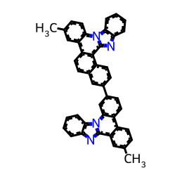 Cc1ccc2c(c1)c1ccc3cc(-c4ccc5c6ccc(C)cc6c6nc7ccccc7n6c5c4)ccc3c1c1nc3ccccc3n21